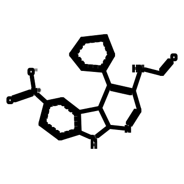 O=CNC1=C(c2ccccc2)C2c3cc([N+](=O)[O-])ccc3NC2N=C1